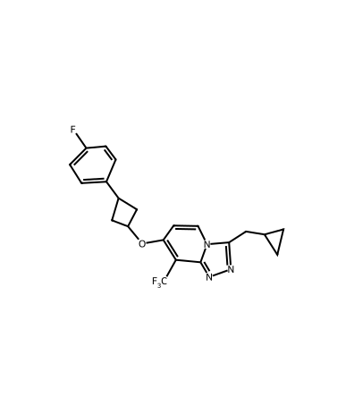 Fc1ccc(C2CC(Oc3ccn4c(CC5CC5)nnc4c3C(F)(F)F)C2)cc1